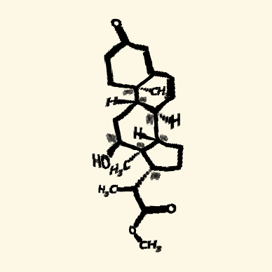 COC(=O)C(C)[C@H]1CC[C@H]2[C@@H]3C=CC4=CC(=O)CC[C@]4(C)[C@H]3C[C@H](O)[C@]12C